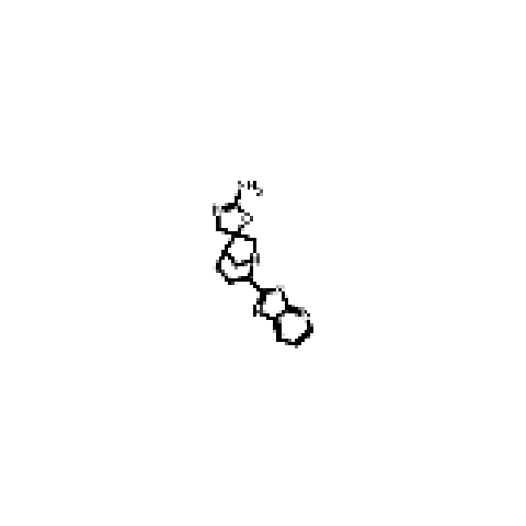 NC1=NCC2(CN3CC2CCC3c2nc3cccnc3s2)O1